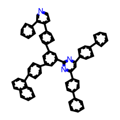 c1ccc(-c2ccc(-c3cc(-c4ccc(-c5ccccc5)cc4)nc(-c4cc(-c5ccc(-c6ccncc6-c6ccccc6)cc5)cc(-c5ccc(-c6cccc7ccccc67)cc5)c4)n3)cc2)cc1